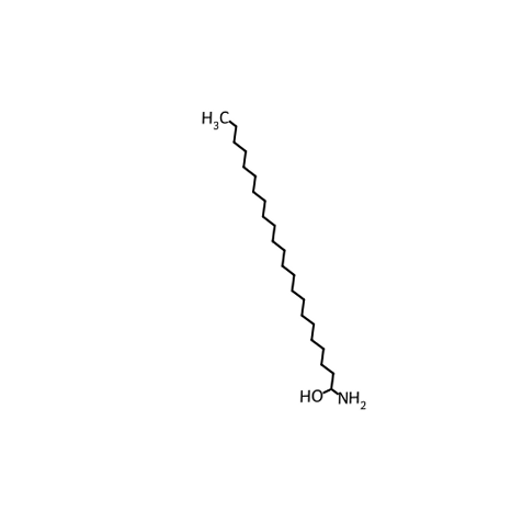 CCCCCCCCCCCCCCCCCCCCCCC(N)O